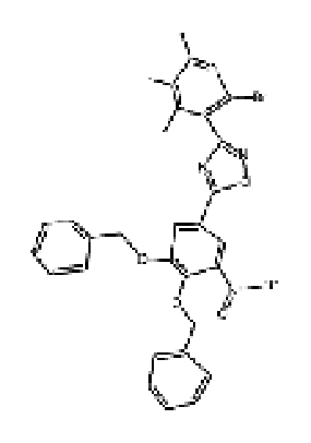 Cc1nc(Br)c(-c2noc(-c3cc(OCc4ccccc4)c(OCc4ccccc4)c([N+](=O)[O-])c3)n2)c(C)c1C